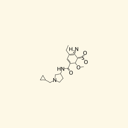 CCC1=C(N)C(=S(=O)=O)C(OC)C(C(=O)NC2CCN(CC3CC3)C2)=C1